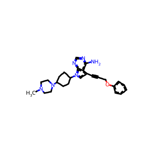 CN1CCN(C2CCC(n3cc(C#CCOc4ccccc4)c4c(N)ncnc43)CC2)CC1